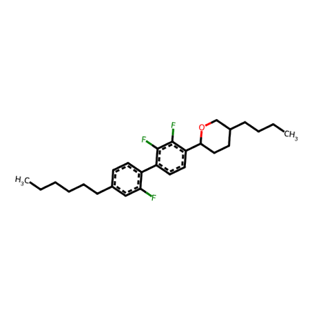 CCCCCCc1ccc(-c2ccc(C3CCC(CCCC)CO3)c(F)c2F)c(F)c1